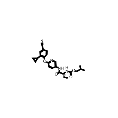 CC[C@@H](NC(=O)OCC(C)C)C(=O)Nc1ccc(Oc2ccc(C#N)cc2C2CC2)nc1